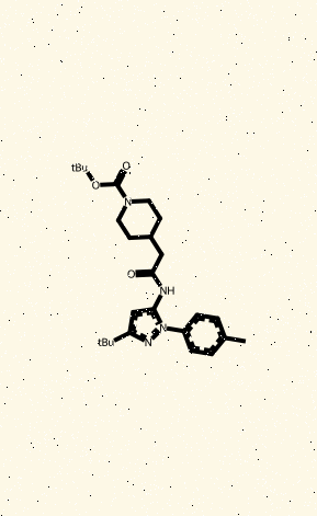 Cc1ccc(-n2nc(C(C)(C)C)cc2NC(=O)CC2CCN(C(=O)OC(C)(C)C)CC2)cc1